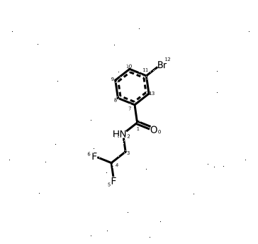 O=C(NCC(F)F)c1cccc(Br)c1